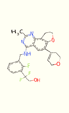 Cc1nc(NCc2cccc(C(F)(F)CO)c2F)c2cc(C3=CCOCC3)c3c(c2n1)CCO3